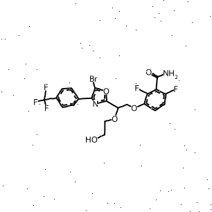 NC(=O)c1c(F)ccc(OCC(OCCO)c2nc(-c3ccc(C(F)(F)F)cc3)c(Br)o2)c1F